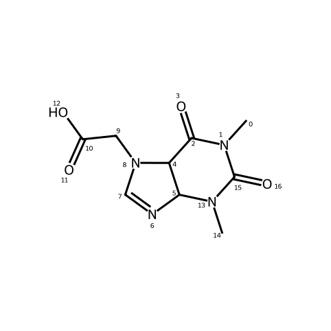 CN1C(=O)C2C(N=CN2CC(=O)O)N(C)C1=O